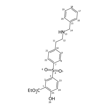 CCOC(=O)c1cc(S(=O)(=O)c2ccc(CCNCc3ccccc3)cc2)ccc1O